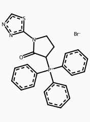 O=C1C([P+](c2ccccc2)(c2ccccc2)c2ccccc2)CCN1c1nncs1.[Br-]